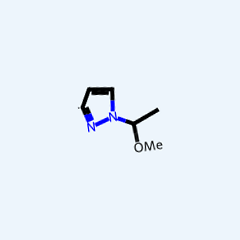 COC(C)n1cc[c]n1